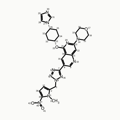 Cn1c(Cn2nnc(-c3cnc4cc(N5CCOCC5)nc(O[C@H]5CC[C@@H](n6ccnc6)CC5)c4c3)n2)ccc1[N+](=O)[O-]